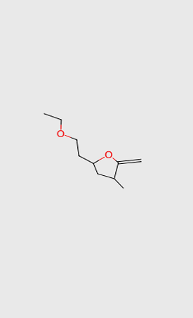 C=C1OC(CCOCC)CC1C